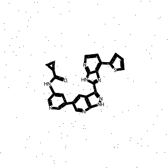 O=C(Nc1cncc(-c2cnc3[nH]nc(-c4nc5c(-c6cccs6)ccnc5[nH]4)c3c2)c1)C1CC1